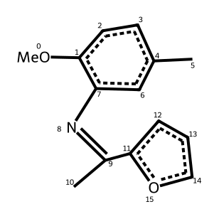 COc1ccc(C)cc1N=C(C)c1ccco1